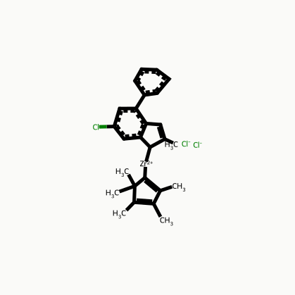 CC1=Cc2c(-c3ccccc3)cc(Cl)cc2[CH]1[Zr+2][C]1=C(C)C(C)=C(C)C1(C)C.[Cl-].[Cl-]